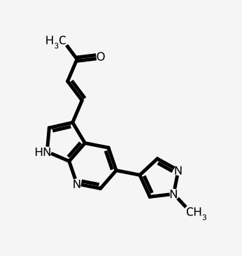 CC(=O)/C=C/c1c[nH]c2ncc(-c3cnn(C)c3)cc12